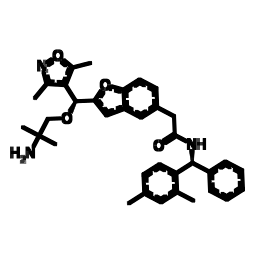 Cc1ccc([C@@H](NC(=O)Cc2ccc3oc([C@@H](OCC(C)(C)N)c4c(C)noc4C)cc3c2)c2ccccc2)c(C)c1